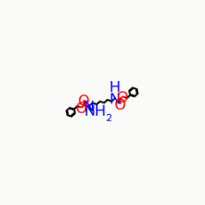 NN(CCCCCCNC(=O)OCc1ccccc1)C(=O)OCc1ccccc1